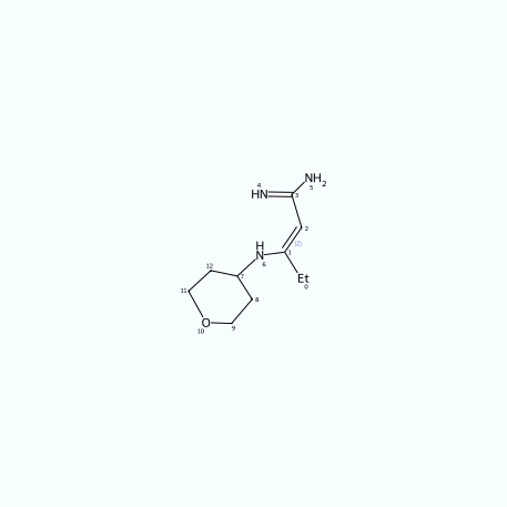 CC/C(=C/C(=N)N)NC1CCOCC1